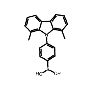 Cc1cccc2c3cccc(C)c3n(-c3ccc(B(O)O)cc3)c12